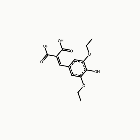 CCOc1cc(C=C(C(=O)O)C(=O)O)cc(OCC)c1O